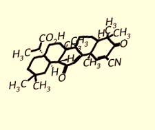 CC(C(=O)O)[C@@]12CCC(C)(C)C[C@@H]1[C@H]1C(=O)C=C3[C@@]4(C)C=C(C#N)C(=O)C(C)(C)[C@@H]4CC[C@@]3(C)[C@]1(C)CC2